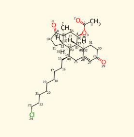 CC(=O)O[C@@H]1C[C@]2(C)C(=O)CC[C@H]2[C@@H]2[C@H](CCCCCCCCCCl)CC3=CC(=O)CC[C@@H]3[C@H]21